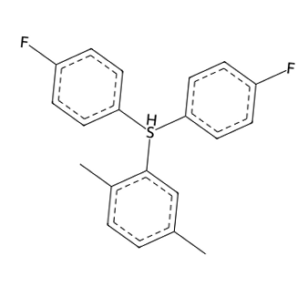 Cc1ccc(C)c([SH](c2ccc(F)cc2)c2ccc(F)cc2)c1